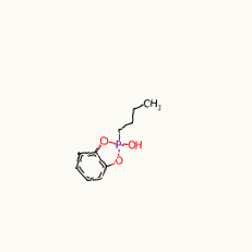 CCCC[P]1(O)Oc2ccccc2O1